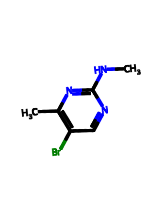 CNc1ncc(Br)c(C)n1